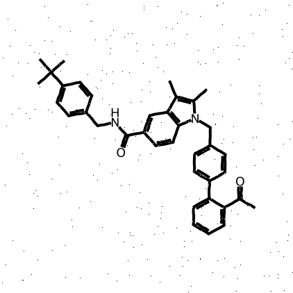 CC(=O)c1ccccc1-c1ccc(Cn2c(C)c(C)c3cc(C(=O)NCc4ccc(C(C)(C)C)cc4)ccc32)cc1